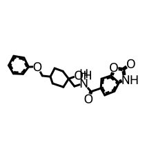 O=C(NCC1(O)CCC(COc2ccccc2)CC1)c1ccc2[nH]c(=O)oc2c1